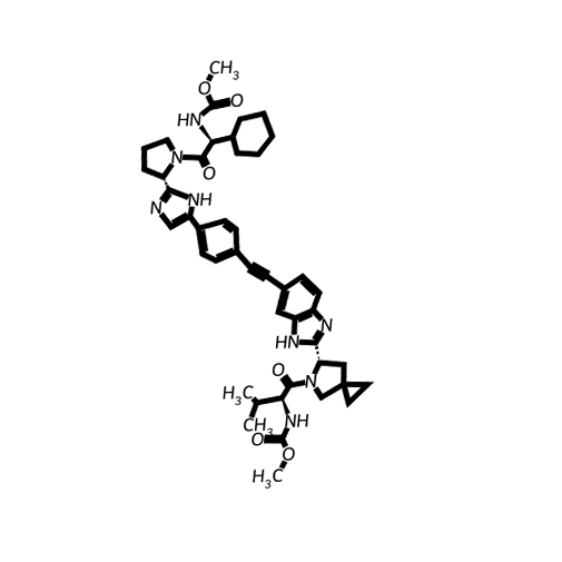 COC(=O)N[C@H](C(=O)N1CC2(CC2)C[C@H]1c1nc2ccc(C#Cc3ccc(-c4cnc([C@@H]5CCCN5C(=O)[C@@H](NC(=O)OC)C5CCCCC5)[nH]4)cc3)cc2[nH]1)C(C)C